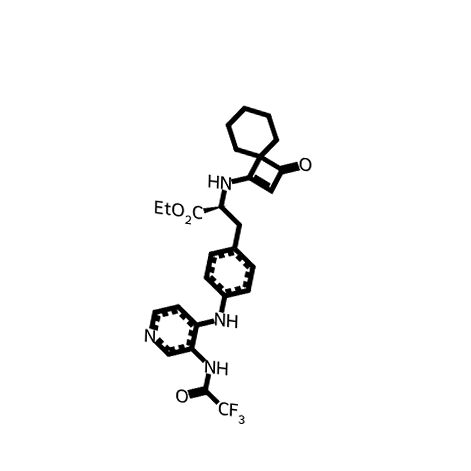 CCOC(=O)[C@H](Cc1ccc(Nc2ccncc2NC(=O)C(F)(F)F)cc1)NC1=CC(=O)C12CCCCC2